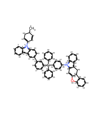 CC1C=CC(n2c3ccccc3c3cc(-c4cccc([Si](c5ccccc5)(c5ccccc5)c5ccc(-n6c7c(c8ccccc86)CC6C(=C7)Oc7ccccc76)cc5)c4)ccc32)=CC1